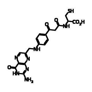 Nc1nc2nc(CNc3ccc(C(=O)CC(=O)NC(CS)C(=O)O)cc3)cnc2c(=O)[nH]1